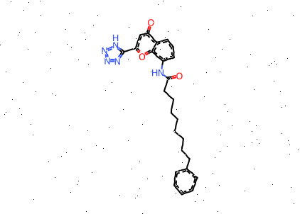 O=C(CCCCCCCCc1ccccc1)Nc1cccc2c(=O)cc(-c3nnn[nH]3)oc12